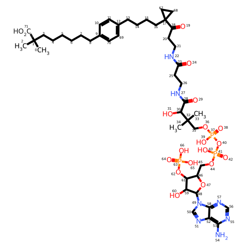 CC(C)(CCCCCCc1ccc(CCCCC2(C(=O)CCNC(=O)CCNC(=O)C(O)C(C)(C)COP(=O)(O)OP(=O)(O)OCC3OC(n4cnc5c(N)ncnc54)C(O)C3OP(=O)(O)O)CC2)cc1)C(=O)O